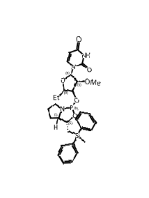 CC[C@H]1O[C@@H](n2ccc(=O)[nH]c2=O)[C@@H](OC)C1O[P@@]1O[C@H](C[Si](C)(c2ccccc2)c2ccccc2)[C@@H]2CCCN21